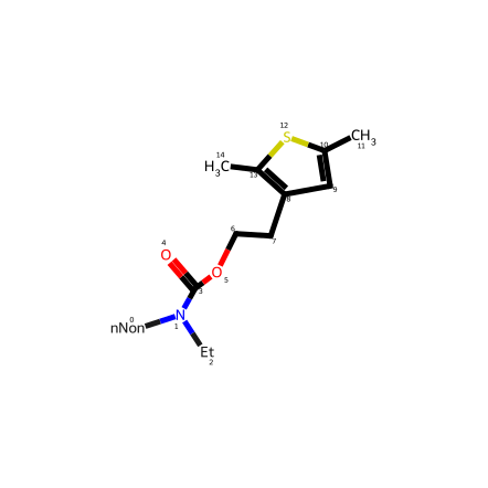 CCCCCCCCCN(CC)C(=O)OCCc1cc(C)sc1C